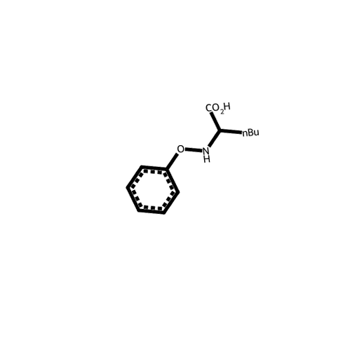 CCCCC(NOc1ccccc1)C(=O)O